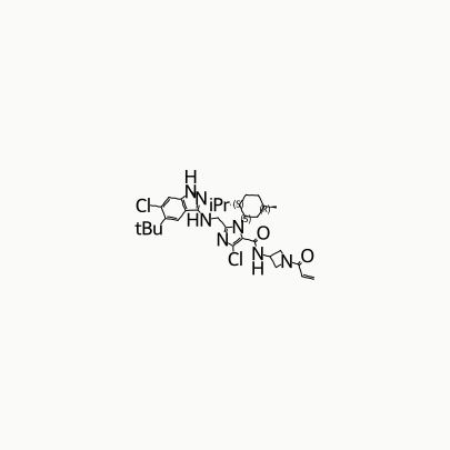 C=CC(=O)N1CC(NC(=O)c2c(Cl)nc(CNc3n[nH]c4cc(Cl)c(C(C)(C)C)cc34)n2[C@H]2C[C@H](C)CC[C@H]2C(C)C)C1